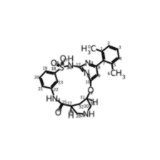 Cc1cccc(C)c1-c1cc2nc(n1)NS(=O)(=O)c1cccc(c1)NC(=O)[C@H]1CNC[C@H](C1)O2